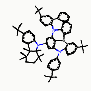 CC(C)(C)c1ccc(N2c3ccc(C(C)(C)C)cc3B3c4ccccc4N(c4ccc(C(C)(C)C)cc4-c4ccccc4)c4cc(N5c6ccc(C(C)(C)C)cc6C6(C)C(C)(C)CCC(C)(C)C56C)cc2c43)cc1